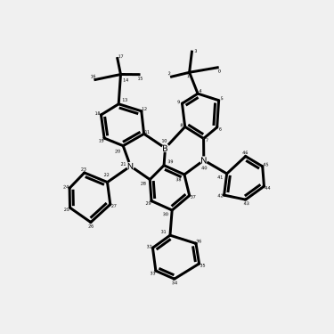 CC(C)(C)c1ccc2c(c1)B1c3cc(C(C)(C)C)ccc3N(c3ccccc3)c3cc(-c4ccccc4)cc(c31)N2c1ccccc1